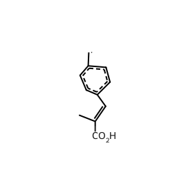 [CH2]c1ccc(C=C(C)C(=O)O)cc1